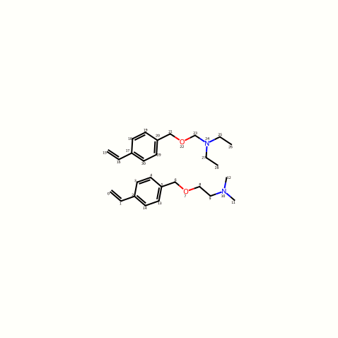 C=Cc1ccc(COCCN(C)C)cc1.C=Cc1ccc(COCN(CC)CC)cc1